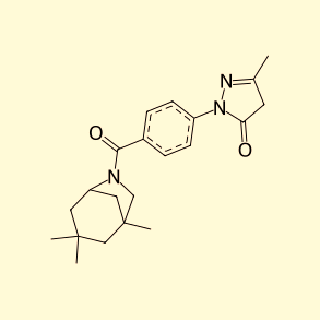 CC1=NN(c2ccc(C(=O)N3CC4(C)CC3CC(C)(C)C4)cc2)C(=O)C1